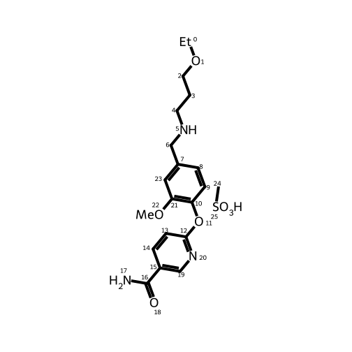 CCOCCCNCc1ccc(Oc2ccc(C(N)=O)cn2)c(OC)c1.CS(=O)(=O)O